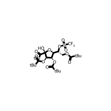 CC(C)(C)C(=O)OC[C@@H](OS(=O)(=O)C(F)(F)F)[C@@H]1O[C@@](O)(C(=O)C(C)(C)C)[C@H](OC(=O)C(C)(C)C)[C@H]1OC(=O)C(C)(C)C